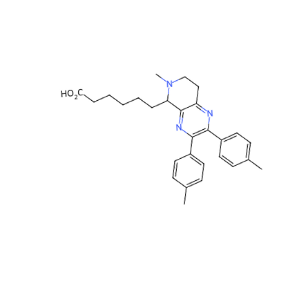 Cc1ccc(-c2nc3c(nc2-c2ccc(C)cc2)C(CCCCCC(=O)O)N(C)CC3)cc1